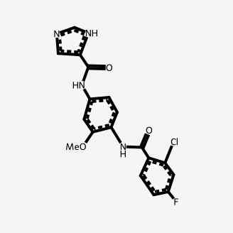 COc1cc(NC(=O)c2cnc[nH]2)ccc1NC(=O)c1ccc(F)cc1Cl